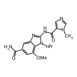 CCCn1c(NC(=O)c2cncn2C)nc2cc(C(N)=O)cc(OC)c21